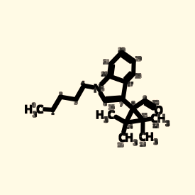 CCCCCn1cc(C2(C=O)C(C)(C)C2(C)C)c2ccccc21